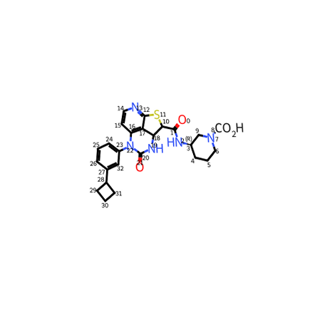 O=C(N[C@@H]1CCCN(C(=O)O)C1)C1Sc2nccc3c2C1NC(=O)N3c1cccc(C2CCC2)c1